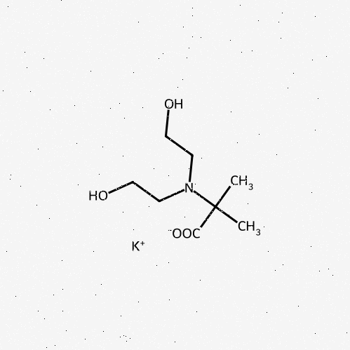 CC(C)(C(=O)[O-])N(CCO)CCO.[K+]